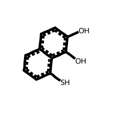 Oc1ccc2cccc(S)c2c1O